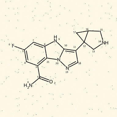 NC(=O)c1cc(F)cc2[nH]c3c(C45CNCC4C5)cnn3c12